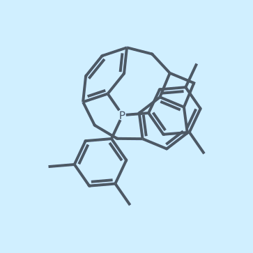 Cc1cc(C)cc(P(c2cc(C)cc(C)c2)c2cc3ccc2CCc2ccc4c(c2)C(C3)C4)c1